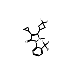 Cn1c(C2CC(F)(F)C2)c(C2CC2)c(=O)n1-c1ccccc1C(F)(F)F